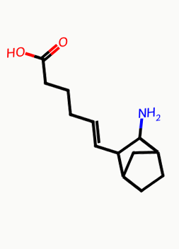 NC1C2CCC(C2)C1/C=C/CCCC(=O)O